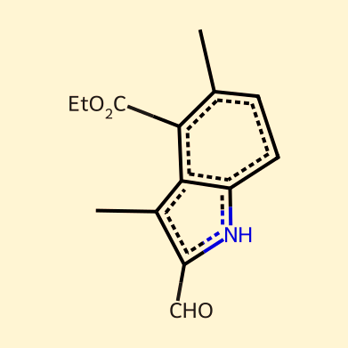 CCOC(=O)c1c(C)ccc2[nH]c(C=O)c(C)c12